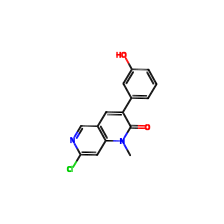 Cn1c(=O)c(-c2cccc(O)c2)cc2cnc(Cl)cc21